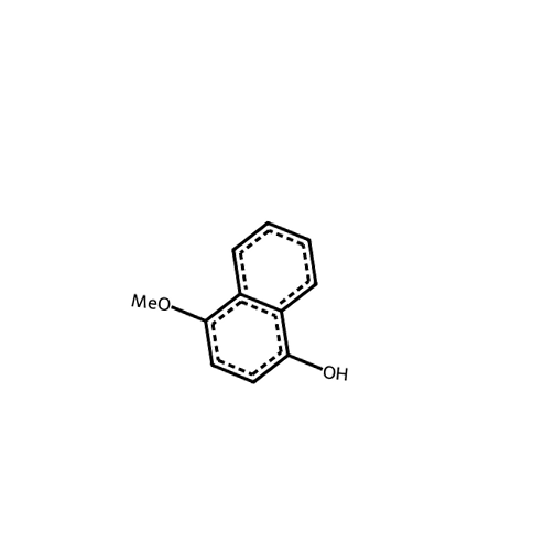 COc1ccc(O)c2ccccc12